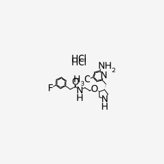 Cc1cc(N)nc(C[C@@H]2CNC[C@@H]2OCCNC(=O)Cc2cccc(F)c2)c1.Cl.Cl